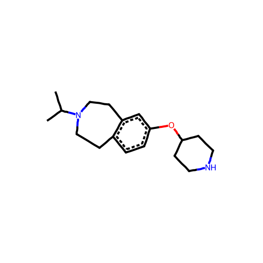 CC(C)N1CCc2ccc(OC3CCNCC3)cc2CC1